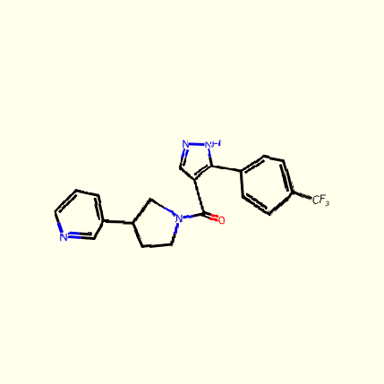 O=C(c1cn[nH]c1-c1ccc(C(F)(F)F)cc1)N1CCC(c2cccnc2)C1